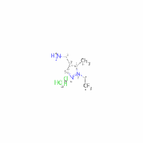 Cc1c(CN)cnn1CC(F)(F)F.Cl.Cl